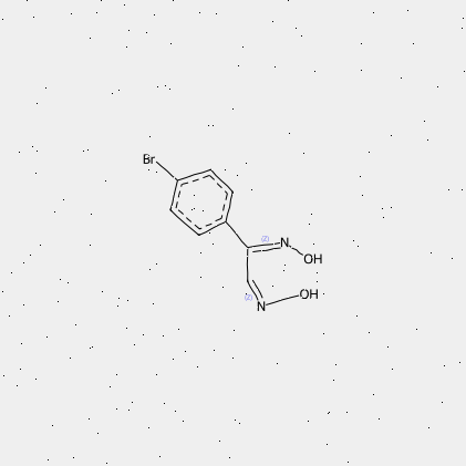 O/N=C\C(=N/O)c1ccc(Br)cc1